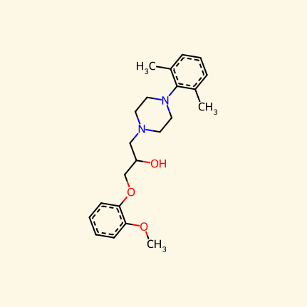 COc1ccccc1OCC(O)CN1CCN(c2c(C)cccc2C)CC1